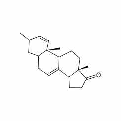 CC1C=C[C@@]2(C)C(CC=C3C2CC[C@]2(C)C(=O)CCC32)C1